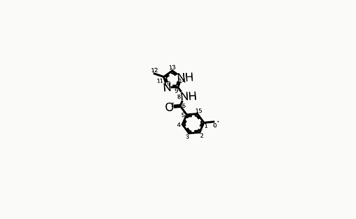 [CH2]c1cccc(C(=O)Nc2nc(C)c[nH]2)c1